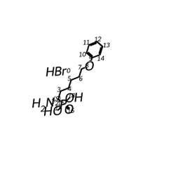 Br.N[C@H](CCCCCOc1ccccc1)P(=O)(O)O